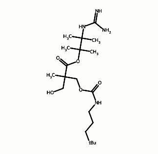 CC(C)(C)CCCNC(=O)OCC(C)(CO)C(=O)OC(C)(C)C(C)(C)NC(=N)N